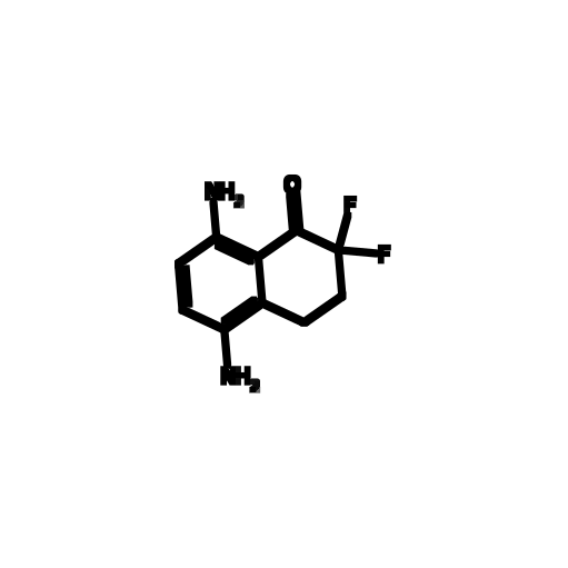 Nc1ccc(N)c2c1CCC(F)(F)C2=O